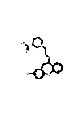 O=C(O)[C@@H]1CCCN(CCSC2Cc3cc(Cl)ccc3Sc3ccccc32)C1